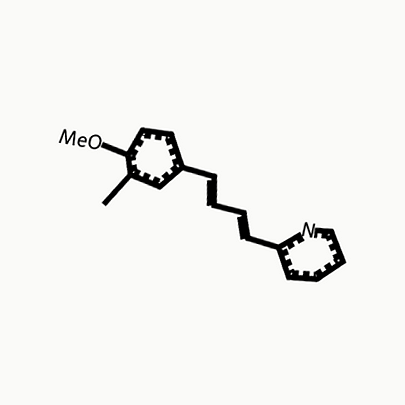 COc1ccc(C=CC=Cc2ccccn2)cc1C